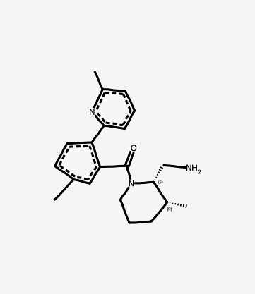 Cc1ccc(-c2cccc(C)n2)c(C(=O)N2CCC[C@@H](C)[C@H]2CN)c1